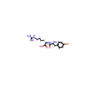 N=C(N)NCCCC[C@H](NC(=O)[C@@H](N)Cc1ccc(O)cc1)C(=O)O